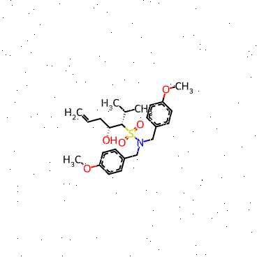 C=CC[C@@H](O)[C@H](C(C)C)S(=O)(=O)N(Cc1ccc(OC)cc1)Cc1ccc(OC)cc1